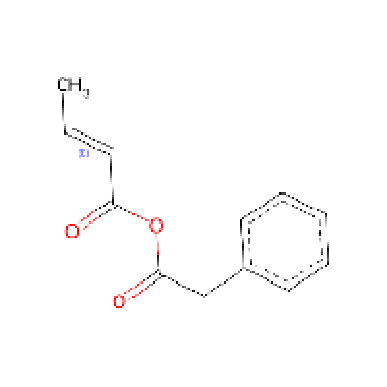 C/C=C/C(=O)OC(=O)Cc1ccccc1